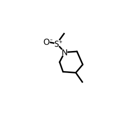 CC1CCN([S+](C)[O-])CC1